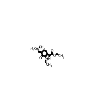 CCOC(=O)c1nn(CC)c2c1CCC(=CN(C)C)C2=O